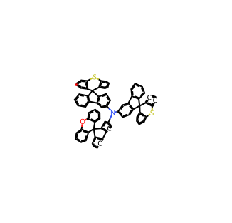 c1ccc2c(c1)Oc1ccccc1C21c2ccccc2-c2ccc(N(c3ccc4c(c3)-c3ccccc3C43c4ccccc4Sc4ccccc43)c3ccc4c(c3)-c3ccccc3C43c4ccccc4Sc4ccccc43)cc21